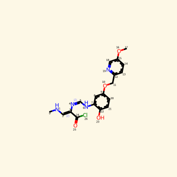 CN/C=C(\N=C/Nc1cc(OCc2ccc(OC)cn2)ccc1O)C(=O)Cl